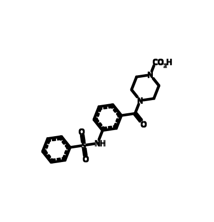 O=C(O)N1CCN(C(=O)c2cccc(NS(=O)(=O)c3ccccc3)c2)CC1